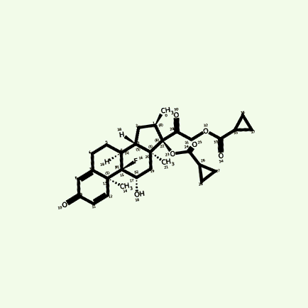 C[C@@H]1C[C@H]2[C@@H]3CCC4=CC(=O)C=C[C@]4(C)[C@@]3(F)[C@@H](O)C[C@]2(C)[C@@]1(OC(=O)C1CC1)C(=O)COC(=O)C1CC1